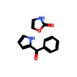 O=C(c1ccccc1)c1ccc[nH]1.O=c1[nH]cco1